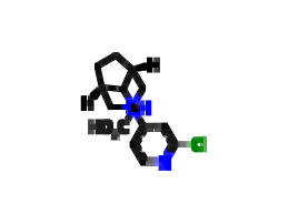 O=C(O)NC1[C@@H]2CC[C@H]1CN(c1ccnc(Cl)c1)C2